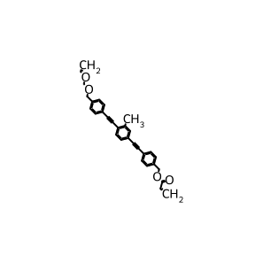 C=COCOCc1ccc(C#Cc2ccc(C#Cc3ccc(COC(=O)C=C)cc3)cc2C)cc1